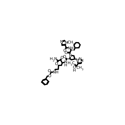 Cn1cncc1C(=O)N[C@H](CC1CCCCC1)C(=O)N1C[C@@H](n2nncc2C(C)(C)O)C[C@H]1C(=O)NC(CCCCNC(=O)OCc1ccccc1)C(=O)C(N)=O